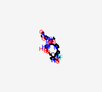 CO[C@@H](C)c1ncccc1-c1c2c3cc(ccc3n1CC(F)(F)F)-c1cccc(n1)C[C@H](NC(=O)[C@H](C(C)C)N(C)C(=O)N1CCC3(CC1)CN(C(C)=O)CCO3)C(=O)N1CCC[C@@](O)(N1)C(=O)OCC(C)(C)C2